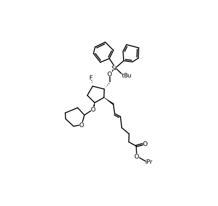 CC(C)OC(=O)CCCC=CC[C@@H]1[C@@H](CO[Si](c2ccccc2)(c2ccccc2)C(C)(C)C)[C@@H](F)C[C@@H]1OC1CCCCO1